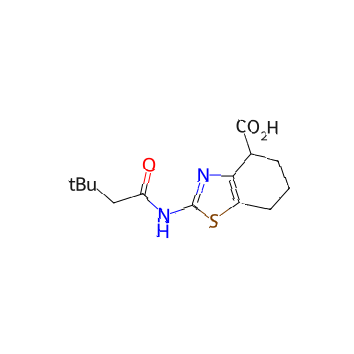 CC(C)(C)CC(=O)Nc1nc2c(s1)CCCC2C(=O)O